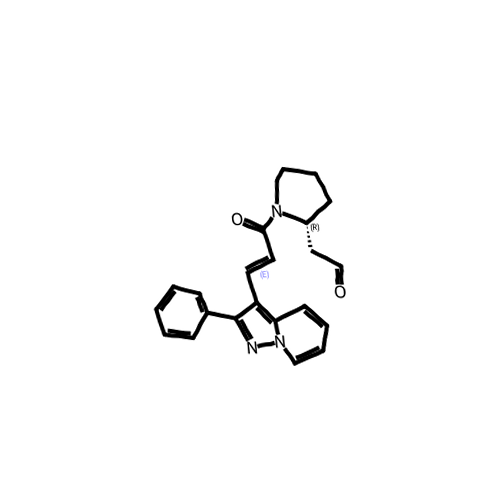 O=CC[C@H]1CCCCN1C(=O)/C=C/c1c(-c2ccccc2)nn2ccccc12